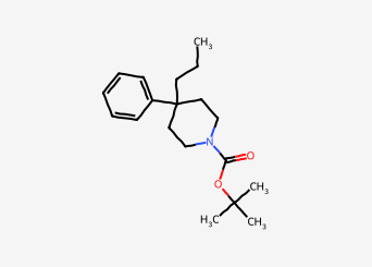 CCCC1(c2ccccc2)CCN(C(=O)OC(C)(C)C)CC1